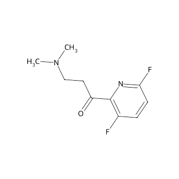 CN(C)CCC(=O)c1nc(F)ccc1F